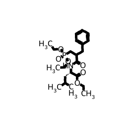 CCOC(=O)[C@H](CC(C)C)NC(=O)C(Cc1ccccc1)CP(=O)(OCC)OCC